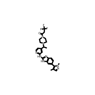 Cc1cnn(C)c1-c1ccc2nc(Nc3cc(C(C)N4CCN(C(=O)CC(F)(F)F)CC4)ccn3)[nH]c2c1